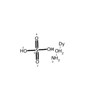 N.O.O=S(=O)(O)O.[Dy]